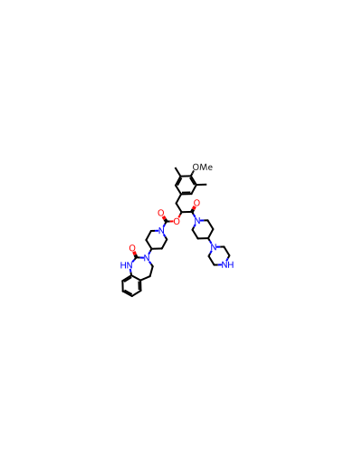 COc1c(C)cc(CC(OC(=O)N2CCC(N3CCc4ccccc4NC3=O)CC2)C(=O)N2CCC(N3CCNCC3)CC2)cc1C